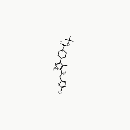 Cc1c(C2CCN(C(=O)OC(C)(C)C)CC2)n[nH]c1NCc1ccc(Cl)s1